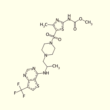 COC(=O)Nc1nc(C)c(S(=O)(=O)N2CCN(CC(C)Nc3ncnc4c(C(F)(F)F)csc34)CC2)s1